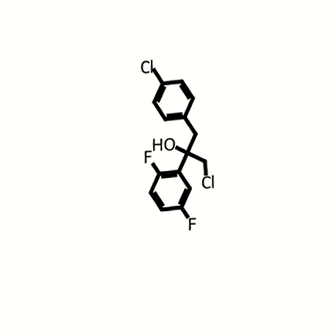 OC(CCl)(Cc1ccc(Cl)cc1)c1cc(F)ccc1F